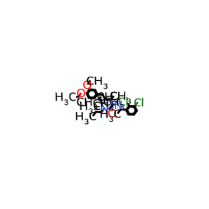 CCCN(C(=O)C(/N=C(\C)c1cccc(Cl)c1Cl)=C(/C)CCc1cc(OC)c(OC(C)C)cc1C)C(C)(C)CC